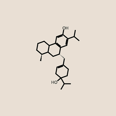 CC(C)c1cc2c(cc1O)C1CCC[C@H](C)C1C[C@H]2CC1=CCC(O)(C(C)C)CC1